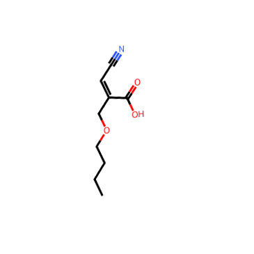 CCCCOC/C(=C/C#N)C(=O)O